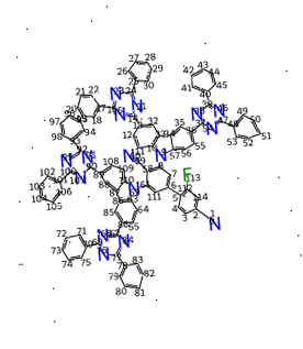 N#Cc1ccc(-c2cc(-n3c4ccc(-c5nc(-c6ccccc6)nc(-c6ccccc6)n5)cc4c4cc(-c5nc(-c6ccccc6)nc(-c6ccccc6)n5)ccc43)c(C#N)c(-n3c4ccc(-c5nc(-c6ccccc6)nc(-c6ccccc6)n5)cc4c4cc(-c5nc(-c6ccccc6)nc(-c6ccccc6)n5)ccc43)c2)c(F)c1